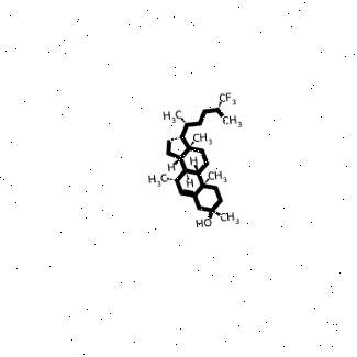 C[C@H](CC[C@@H](C)C(F)(F)F)[C@H]1CC[C@H]2[C@@H]3[C@@H](C)C=C4C[C@@](C)(O)CC[C@]4(C)[C@H]3CC[C@]12C